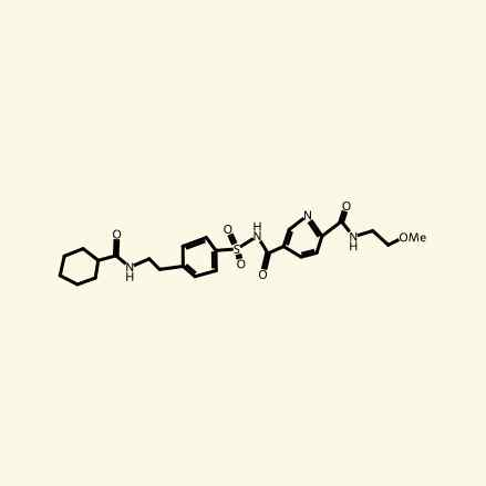 COCCNC(=O)c1ccc(C(=O)NS(=O)(=O)c2ccc(CCNC(=O)C3CCCCC3)cc2)cn1